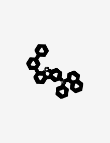 c1ccc(-c2cccc(-c3cccc4c3oc3ccc(N(c5ccccc5)c5cccc6ccccc56)cc34)c2)cc1